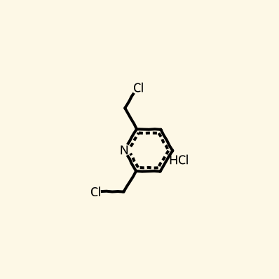 Cl.ClCc1cccc(CCl)n1